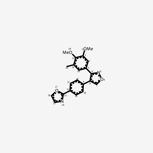 COc1cc(-c2nocc2-c2ccc(-c3ncco3)cc2)cc(C)c1OC